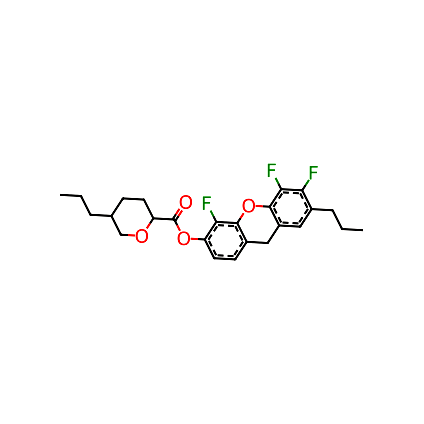 CCCc1cc2c(c(F)c1F)Oc1c(ccc(OC(=O)C3CCC(CCC)CO3)c1F)C2